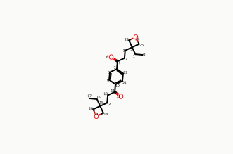 CCC1(CCC(=O)c2ccc(C(=O)CCC3(CC)COC3)cc2)COC1